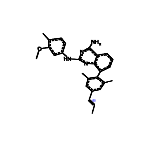 C/C=C/c1cc(C)c(-c2cccc3c(N)nc(Nc4ccc(C)c(OC)c4)nc23)c(C)c1